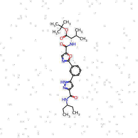 CCC(CC)NC(=O)c1cc(-c2cccc(-c3ncc(C(=O)N[C@H](C(=O)OC(C)(C)C)C(C)C)o3)c2)[nH]n1